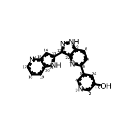 Oc1cncc(-c2ccc3[nH]nc(-c4cc5ncccc5[nH]4)c3n2)c1